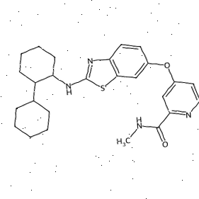 CNC(=O)c1cc(Oc2ccc3nc(NC4CCCCC4C4CCCCC4)sc3c2)ccn1